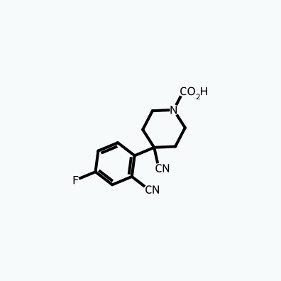 N#Cc1cc(F)ccc1C1(C#N)CCN(C(=O)O)CC1